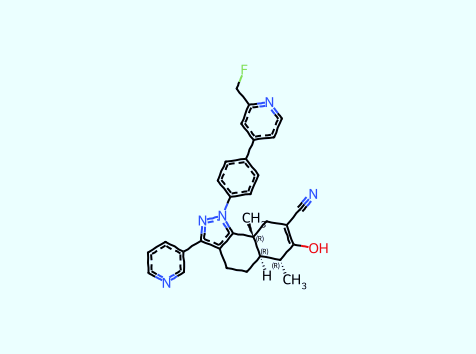 C[C@H]1C(O)=C(C#N)C[C@@]2(C)c3c(c(-c4cccnc4)nn3-c3ccc(-c4ccnc(CF)c4)cc3)CC[C@H]12